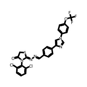 O=C1CS/C(=N\N=C\c2ccc(-c3cn(-c4ccc(OC(F)(F)F)cc4)cn3)cc2)N1c1c(Cl)cccc1Cl